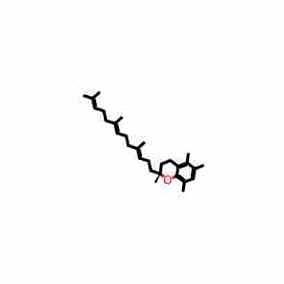 CC(C)=CCC/C(C)=C/CC/C(C)=C/CC[C@]1(C)CCc2c(C)c(C)cc(C)c2O1